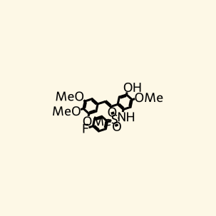 COc1cc(NS(=O)(=O)c2ccc(F)cc2)c(C=Cc2cc(OC)c(OC)c(OC)c2)cc1O